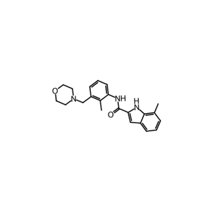 Cc1c(CN2CCOCC2)cccc1NC(=O)c1cc2cccc(C)c2[nH]1